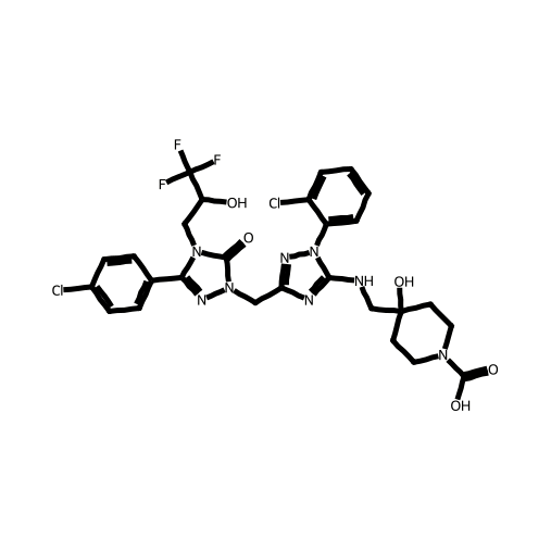 O=C(O)N1CCC(O)(CNc2nc(Cn3nc(-c4ccc(Cl)cc4)n(CC(O)C(F)(F)F)c3=O)nn2-c2ccccc2Cl)CC1